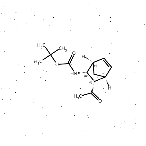 CC(=O)[C@@H]1[C@H](NC(=O)OC(C)(C)C)[C@H]2C=C[C@@H]1C2